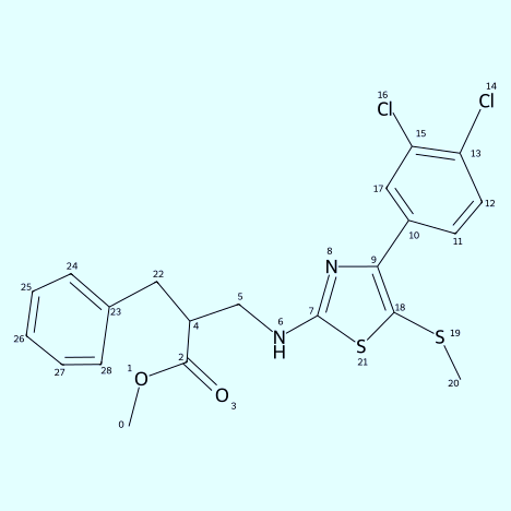 COC(=O)C(CNc1nc(-c2ccc(Cl)c(Cl)c2)c(SC)s1)Cc1ccccc1